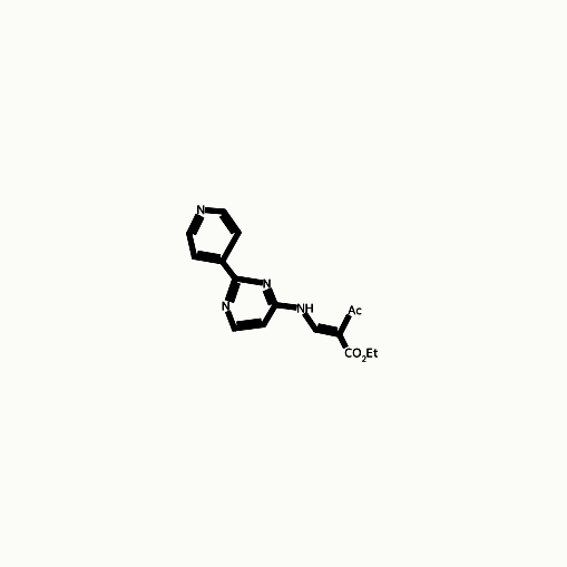 CCOC(=O)C(=CNc1ccnc(-c2ccncc2)n1)C(C)=O